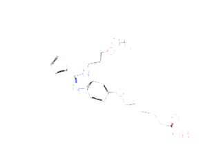 COCCCn1c(-c2cccs2)nc2ccc(OCCCCCC(=O)O)cc21